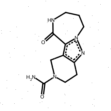 NC(=O)N1CCc2nn3c(c2C1)C(=O)NCCC3